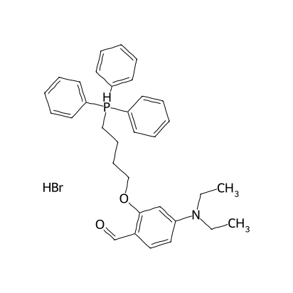 Br.CCN(CC)c1ccc(C=O)c(OCCCC[PH](c2ccccc2)(c2ccccc2)c2ccccc2)c1